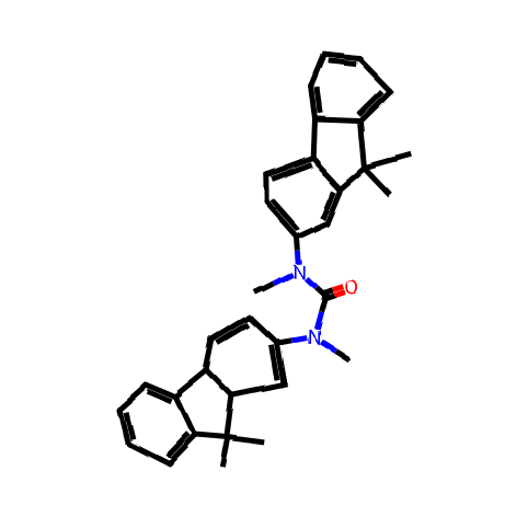 CN(C(=O)N(C)c1ccc2c(c1)C(C)(C)c1ccccc1-2)C1=CC2C(C=C1)c1ccccc1C2(C)C